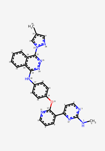 CNc1nccc(-c2cccnc2Oc2ccc(Nc3nnc(-n4cc(C)cn4)c4ccccc34)cc2)n1